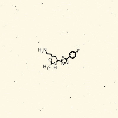 CC(=O)N[C@@H](CCCCN)c1nnc(-c2ccc(F)cc2)s1